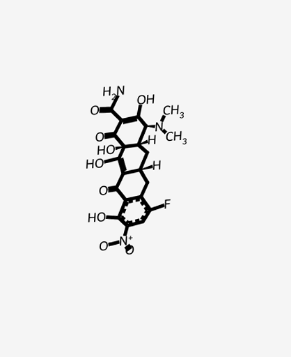 CN(C)[C@@H]1C(O)=C(C(N)=O)C(=O)[C@@]2(O)C(O)=C3C(=O)c4c(O)c([N+](=O)[O-])cc(F)c4C[C@H]3C[C@@H]12